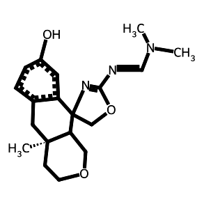 CN(C)C=NC1=NC2(CO1)c1cc(O)ccc1C[C@]1(C)CCOCC21